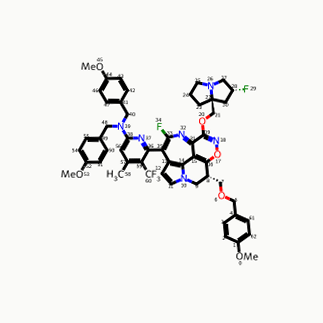 COc1ccc(COC[C@@H]2Cn3ccc4c3C3=C2ON=C(OC[C@@]25CCCN2C[C@H](F)C5)C3=NC(F)=C4c2nc(N(Cc3ccc(OC)cc3)Cc3ccc(OC)cc3)cc(C)c2C(F)(F)F)cc1